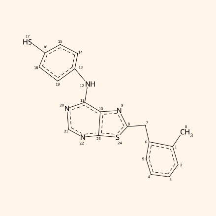 Cc1ccccc1Cc1nc2c(Nc3ccc(S)cc3)ncnc2s1